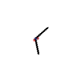 CCCCCCCCCCCCCCCC(=O)C[N+](C)(C)C(=O)CCCCCCCCCCCCCCC